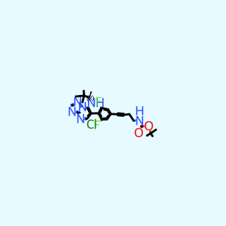 C[C@@H](Nc1c(-c2c(F)cc(C#CCCNC(=O)OC(C)(C)C)cc2F)c(Cl)nc2ncnn12)C(C)(C)C